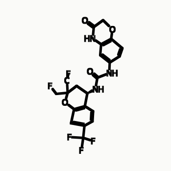 O=C1COc2ccc(NC(=O)N[C@@H]3CC(CF)(CF)Oc4cc(C(F)(F)F)ccc43)cc2N1